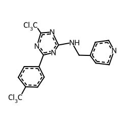 ClC(Cl)(Cl)c1ccc(-c2nc(NCc3ccncc3)nc(C(Cl)(Cl)Cl)n2)cc1